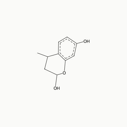 CC1CC(O)Oc2cc(O)ccc21